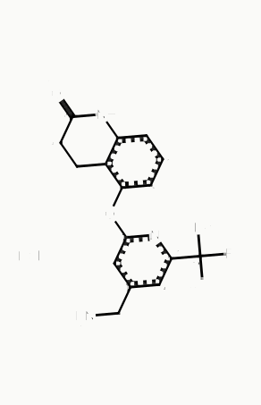 Cl.NCc1cc(Oc2cccc3c2CCC(=O)N3)nc(C(F)(F)F)c1